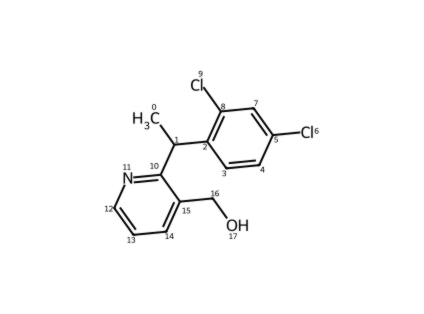 CC(c1ccc(Cl)cc1Cl)c1ncccc1CO